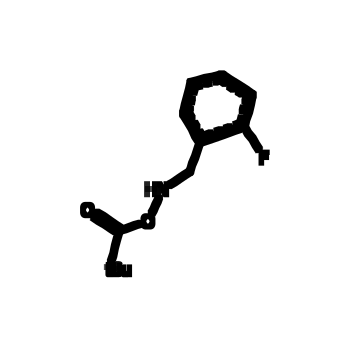 CC(C)(C)C(=O)ONCc1ccccc1F